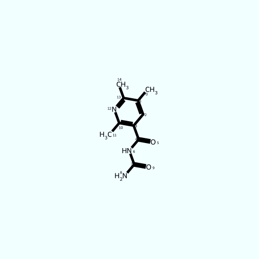 Cc1cc(C(=O)NC(N)=O)c(C)nc1C